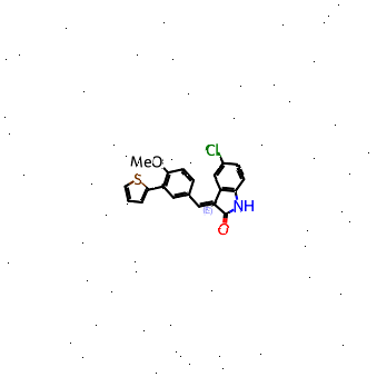 COc1ccc(/C=C2/C(=O)Nc3ccc(Cl)cc32)cc1-c1cccs1